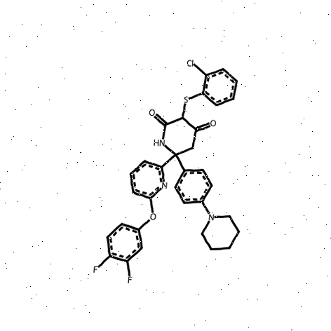 O=C1CC(c2ccc(N3CCCCC3)cc2)(c2cccc(Oc3ccc(F)c(F)c3)n2)NC(=O)C1Sc1ccccc1Cl